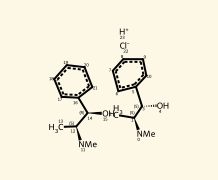 CN[C@@H](C)[C@@H](O)c1ccccc1.CN[C@@H](C)[C@H](O)c1ccccc1.[Cl-].[H+]